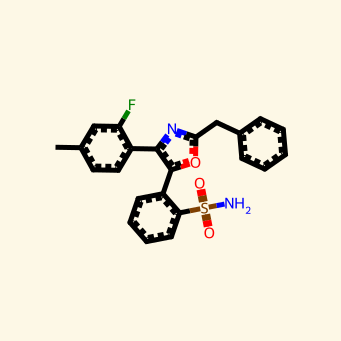 Cc1ccc(-c2nc(Cc3ccccc3)oc2-c2ccccc2S(N)(=O)=O)c(F)c1